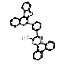 Cc1nc2c3ccccc3c3ccccc3c2nc1-c1cccc(-c2cc3ccccc3c3c2oc2ccccc23)c1